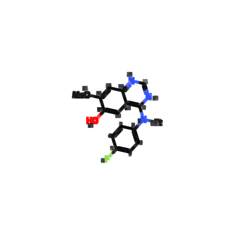 CCN(c1ccc(F)cc1)c1ncnc2cc(OC)c(O)cc12